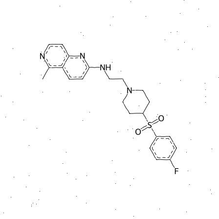 Cc1nccc2nc(NCCN3CCC(S(=O)(=O)c4ccc(F)cc4)CC3)ccc12